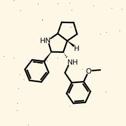 COc1ccccc1CN[C@@H]1[C@@H](c2ccccc2)NC2CCC[C@@H]21